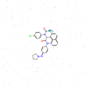 NC(=O)N(c1ccc(Cl)cc1)C(C(=O)N(c1ccccc1)C1C=CC(=NN2CCCC2)C=C1)c1ccccc1Cl